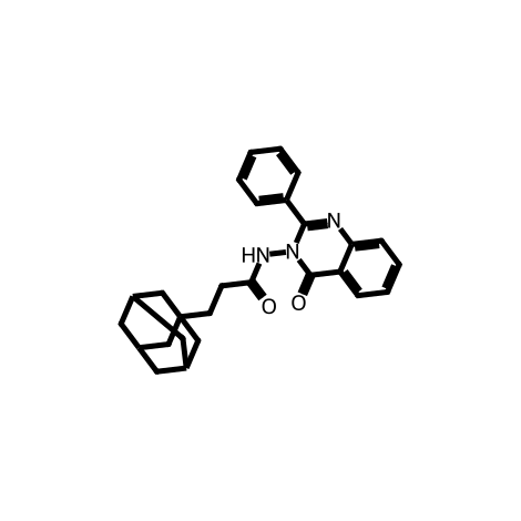 O=C(CCC12CC3CC(CC(C3)C1)C2)Nn1c(-c2ccccc2)nc2ccccc2c1=O